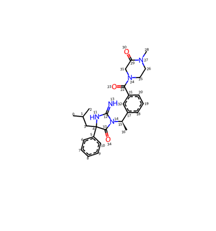 CC(C)CC1(c2ccccc2)NC(=N)N([C@H](C)c2cccc(C(=O)N3CCN(C)C(=O)C3)c2)C1=O